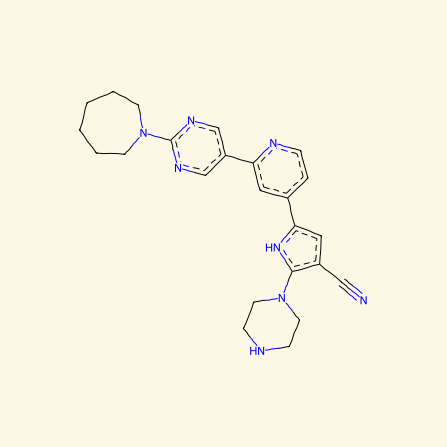 N#Cc1cc(-c2ccnc(-c3cnc(N4CCCCCC4)nc3)c2)[nH]c1N1CCNCC1